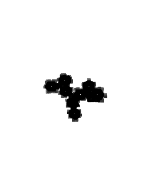 CC(C)(C)[Si](c1ccccc1)(c1ccccc1)c1ccc2c(c1)c1cc(-c3ccccc3)ccc1n2-c1ccc2c(c1)c1ccccc1n2-c1ccccc1